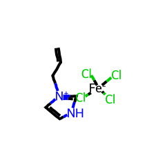 C=CC[n+]1cc[nH]c1.[Cl][Fe-]([Cl])([Cl])[Cl]